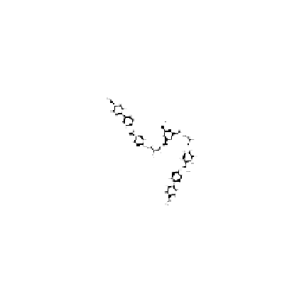 CC(COC(=O)c1cc(C=O)cc(C(=O)OCC(C)COc2ccc(C(=O)Oc3ccc(-c4ccc(C#N)cc4)cc3)cc2)c1)COc1ccc(C(=O)Oc2ccc(-c3ccc(C#N)cc3)cc2)cc1